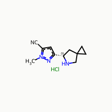 Cl.Cn1nc([C@@H]2CC3(CC3)CN2)cc1C#N